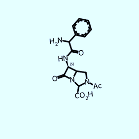 CC(=O)N1CC2[C@H](NC(=O)C(N)c3ccccc3)C(=O)N2C1C(=O)O